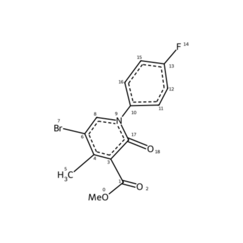 COC(=O)c1c(C)c(Br)cn(-c2ccc(F)cc2)c1=O